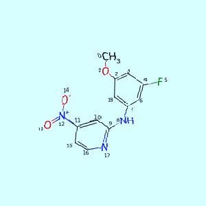 COc1cc(F)cc(Nc2cc([N+](=O)[O-])ccn2)c1